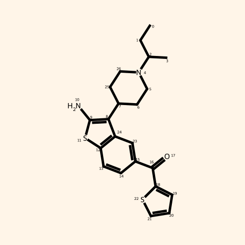 CCC(C)N1CCC(c2c(N)sc3ccc(C(=O)c4cccs4)cc23)CC1